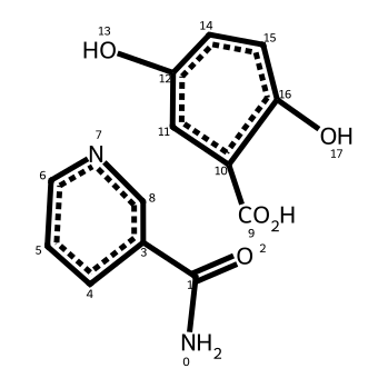 NC(=O)c1cccnc1.O=C(O)c1cc(O)ccc1O